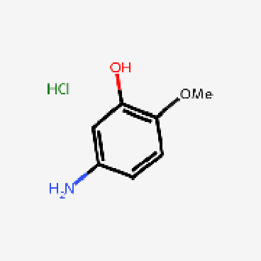 COc1ccc(N)cc1O.Cl